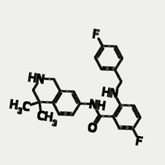 CC1(C)CNCc2cc(NC(=O)c3cc(F)ccc3NCc3ccc(F)cc3)ccc21